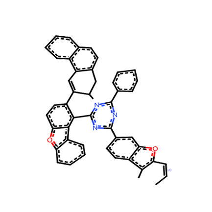 C/C=C\c1oc2cc(-c3nc(-c4ccccc4)nc(-c4c(C5=Cc6c(ccc7ccccc67)CC5C)ccc5oc6ccccc6c45)n3)ccc2c1C